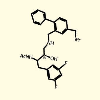 CC(=O)NC(Cc1cc(F)cc(F)c1)[C@H](O)CNCc1cc(CC(C)C)ccc1-c1ccccc1